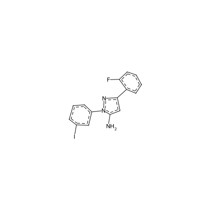 Nc1cc(-c2ccccc2F)nn1-c1cccc(I)c1